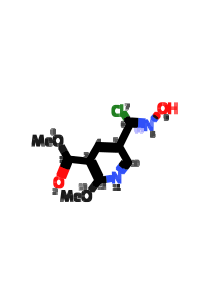 COC(=O)c1cc(/C(Cl)=N/O)cnc1OC